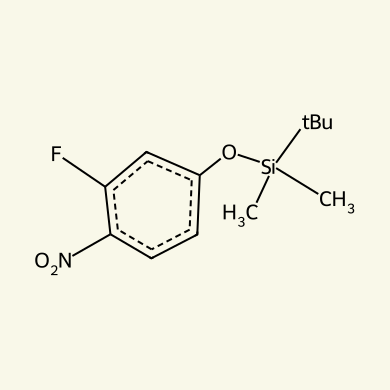 CC(C)(C)[Si](C)(C)Oc1ccc([N+](=O)[O-])c(F)c1